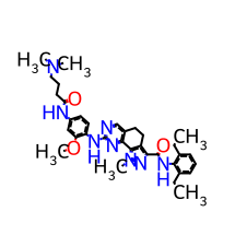 CCc1cccc(CC)c1NC(=O)c1nn(C)c2c1CCc1cnc(Nc3ccc(NC(=O)CCCN(C)C)cc3OC)nc1-2